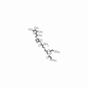 CCCCCCCCCCCC(=O)OCC(CSCC(N)C(=O)Nc1cn(CC(O)C2OC(O)[C@@H](O)[C@@H]2O)nn1)OC(=O)CCCCCCCCCCC